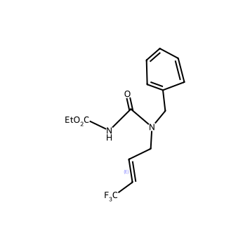 CCOC(=O)NC(=O)N(C/C=C/C(F)(F)F)Cc1ccccc1